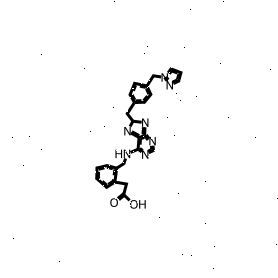 O=C(O)Cc1ccccc1CNc1ncnc2c1=NC(Cc1ccc(Cn3cccn3)cc1)N=2